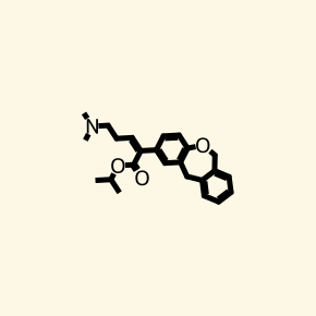 CC(C)OC(=O)C(=CCCN(C)C)c1ccc2c(c1)Cc1ccccc1CO2